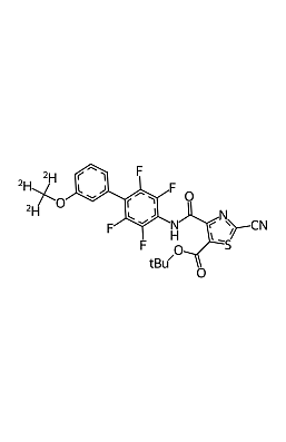 [2H]C([2H])([2H])Oc1cccc(-c2c(F)c(F)c(NC(=O)c3nc(C#N)sc3C(=O)OC(C)(C)C)c(F)c2F)c1